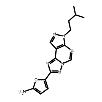 CC(C)CCn1ncc2c1ncn1nc(-c3ccc(N)o3)nc21